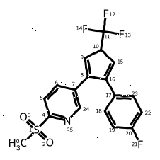 CS(=O)(=O)c1ccc(C2=CC(C(F)(F)F)C=C2c2ccc(F)cc2)cn1